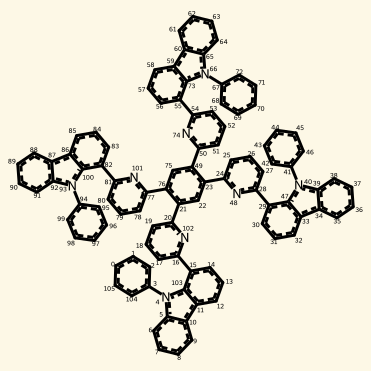 c1ccc(-n2c3ccccc3c3cccc(-c4cccc(-c5cc(-c6cccc(-c7cccc8c9ccccc9n(-c9ccccc9)c78)n6)c(-c6cccc(-c7cccc8c9ccccc9n(-c9ccccc9)c78)n6)cc5-c5cccc(-c6cccc7c8ccccc8n(-c8ccccc8)c67)n5)n4)c32)cc1